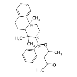 CC(=O)CC(C)O[C@@H](c1ccccc1)[C@H]1CC[C@]2(C)c3ccccc3CCC2C1(C)C